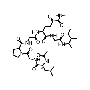 CCC(C)C(C)NC(=O)CNC(=O)C(CCC(=O)C(=O)NC)NC(=O)CNC(=O)C1CCCN1C(=O)CNC(=O)[C@H](CC(C)C)NC(C)=O